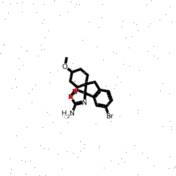 COC1CCC2(CC1)Cc1ccc(Br)cc1C21N=C(N)N2CCCN=C21